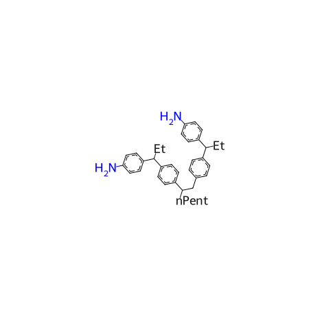 CCCCCC(Cc1ccc(C(CC)c2ccc(N)cc2)cc1)c1ccc(C(CC)c2ccc(N)cc2)cc1